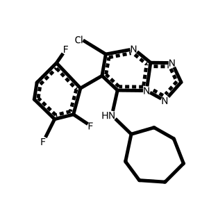 Fc1ccc(F)c(-c2c(Cl)nc3ncnn3c2NC2CCCCCC2)c1F